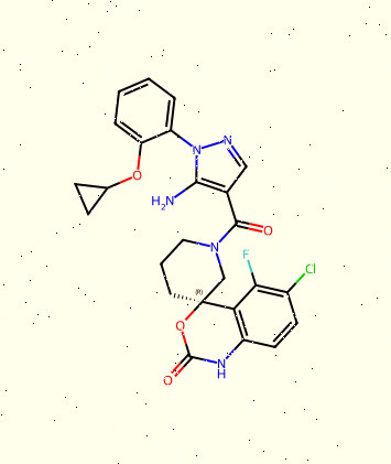 Nc1c(C(=O)N2CCC[C@@]3(C2)OC(=O)Nc2ccc(Cl)c(F)c23)cnn1-c1ccccc1OC1CC1